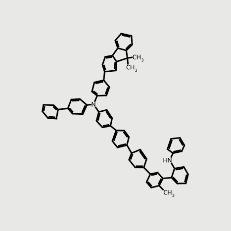 Cc1ccc(-c2ccc(-c3ccc(-c4ccc(N(c5ccc(-c6ccccc6)cc5)c5ccc(-c6ccc7c(c6)C(C)(C)c6ccccc6-7)cc5)cc4)cc3)cc2)cc1-c1ccccc1Nc1ccccc1